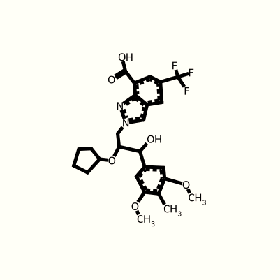 COc1cc(C(O)C(Cn2cc3cc(C(F)(F)F)cc(C(=O)O)c3n2)OC2CCCC2)cc(OC)c1C